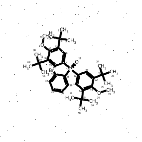 COc1c(C(C)(C)C)cc(P(=O)(c2cc(C(C)(C)C)c(OC)c(C(C)(C)C)c2)c2ccccc2Br)cc1C(C)(C)C